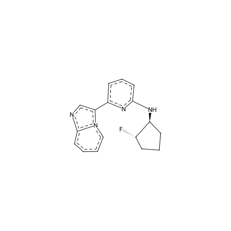 F[C@H]1CCC[C@@H]1Nc1cccc(-c2cnc3ccccn23)n1